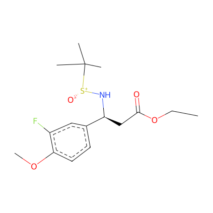 CCOC(=O)C[C@H](N[S@+]([O-])C(C)(C)C)c1ccc(OC)c(F)c1